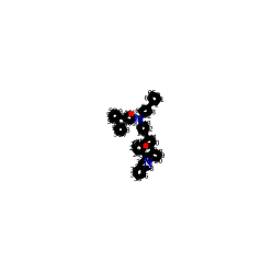 c1ccc(-c2ccc(N(c3ccc(-c4ccc(-c5cccc6c5c(-c5ccccc5)c5cc7ccccc7cn56)cc4)cc3)c3ccc(-c4ccccc4-c4ccccc4)cc3)cc2)cc1